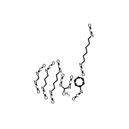 CC(N=C=O)N=C=O.O=C=NCCCCCCN=C=O.O=C=NCCCCN=C=O.O=C=NCCCN=C=O.O=C=NCN=C=O.O=C=Nc1ccccc1